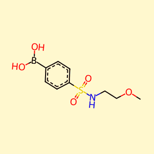 COCCNS(=O)(=O)c1ccc(B(O)O)cc1